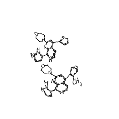 Cc1cscc1-c1cc(N2CCOCC2)nc2c(-c3ccn[nH]3)nccc12.c1csc(-c2cc(N3CCOCC3)nc3c(-c4ccn[nH]4)nccc23)c1